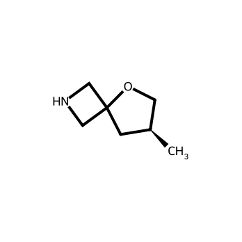 C[C@@H]1COC2(CNC2)C1